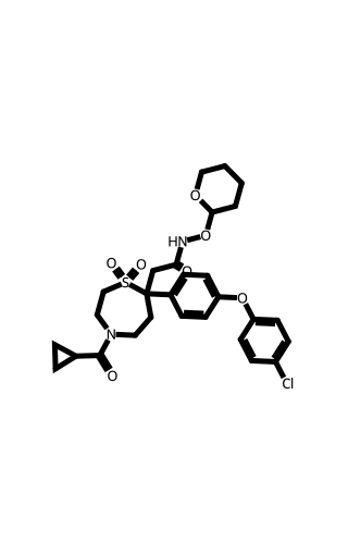 O=C(CC1(c2ccc(Oc3ccc(Cl)cc3)cc2)CCN(C(=O)C2CC2)CCS1(=O)=O)NOC1CCCCO1